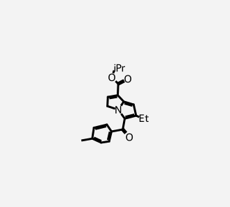 CCc1cc2n(c1C(=O)c1ccc(C)cc1)CC=C2C(=O)OC(C)C